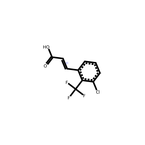 O=C(O)/C=C/c1cc[c]c(Cl)c1C(F)(F)F